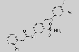 CC(=O)c1cc(OCc2ccc(NC(=O)Cc3ccccc3Cl)cc2S(N)(=O)=O)ccc1F